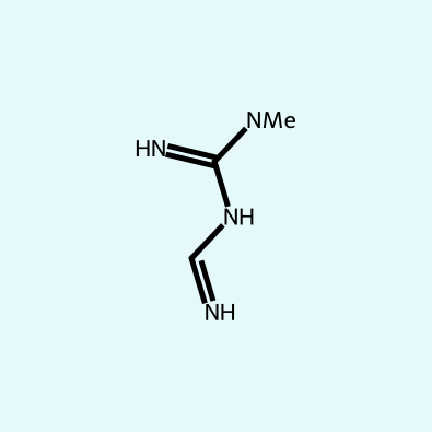 CNC(=N)NC=N